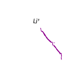 I[I-]I.[Li+]